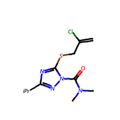 C=C(Cl)CSc1nc(C(C)C)nn1C(=O)N(C)C